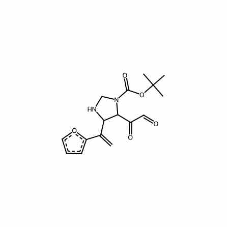 C=C(c1ccco1)C1NCN(C(=O)OC(C)(C)C)C1C(=O)C=O